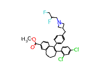 COC(=O)c1ccc2c(c1)CCCC(c1ccc(Cl)cc1Cl)=C2c1ccc(CC2CN(CC(F)CF)C2)cc1